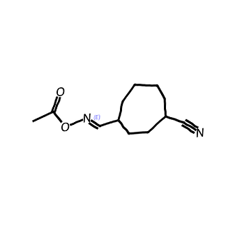 CC(=O)O/N=C/C1CCCCC(C#N)CC1